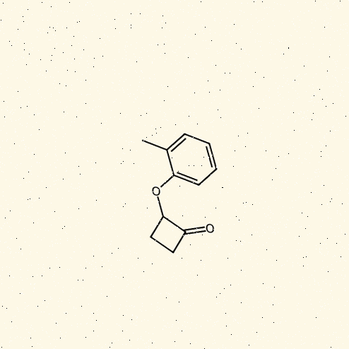 Cc1ccccc1OC1CCC1=O